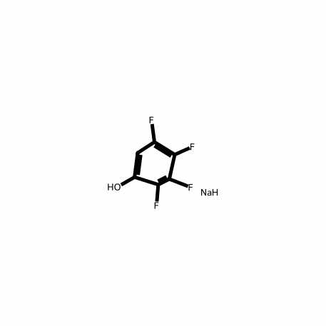 Oc1cc(F)c(F)c(F)c1F.[NaH]